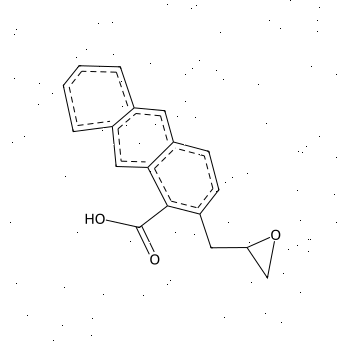 O=C(O)c1c(CC2CO2)ccc2cc3ccccc3cc12